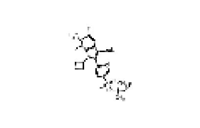 Cc1c(F)cc2c(C#N)c(-c3ccc(S(=O)(=O)NC(C)(C)CF)cn3)n(C3CCC3)c2c1F